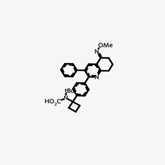 CON=C1CCCc2nc(-c3ccc(C4(N(C(=O)O)C(C)(C)C)CCC4)cc3)c(-c3ccccc3)cc21